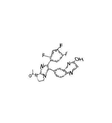 CC(=O)N1CCn2c1nc(-c1cc(F)c(F)cc1F)c2-c1ccc2ncc(O)nc2c1